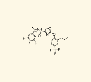 CCCc1cc(C(F)(F)F)ccc1Oc1nc(C(=O)N[C@H](C)c2cc(F)c(C)c(F)c2)co1